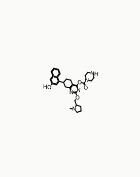 CN1CCCC1COc1nc2c(c(OC(=O)N3CCNCC3)n1)CCC(c1cc(O)cc3ccccc13)C2